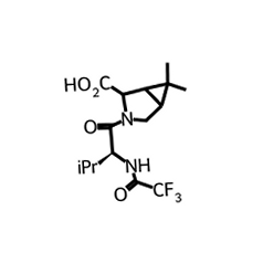 CC(C)[C@H](NC(=O)C(F)(F)F)C(=O)N1CC2C(C1C(=O)O)C2(C)C